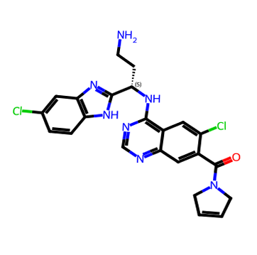 NCC[C@H](Nc1ncnc2cc(C(=O)N3CC=CC3)c(Cl)cc12)c1nc2cc(Cl)ccc2[nH]1